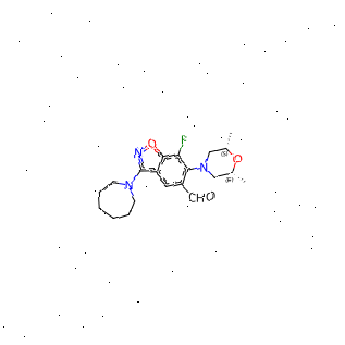 C[C@@H]1CN(c2c(C=O)cc3c(N4CCCCCC4)noc3c2F)C[C@H](C)O1